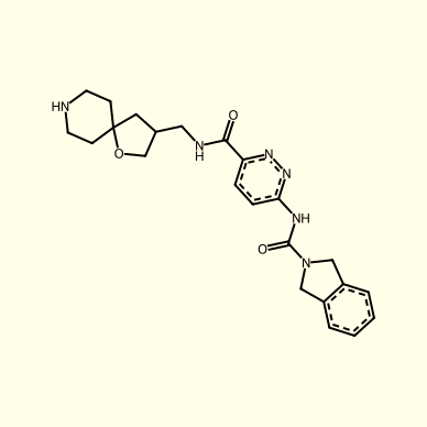 O=C(NCC1COC2(CCNCC2)C1)c1ccc(NC(=O)N2Cc3ccccc3C2)nn1